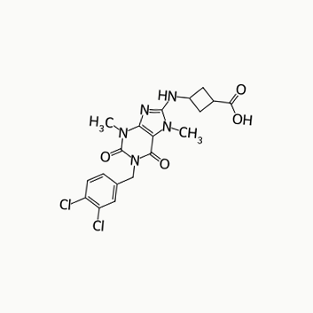 Cn1c(NC2CC(C(=O)O)C2)nc2c1c(=O)n(Cc1ccc(Cl)c(Cl)c1)c(=O)n2C